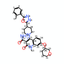 Cc1ccccc1-c1nnc(C2CCN(c3c(C(N)=O)c(=O)n(C)c4cc(O[C@@H]5CCCOC5)ccc34)CC2)o1